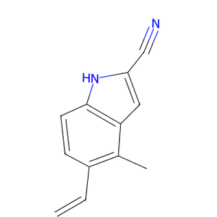 C=Cc1ccc2[nH]c(C#N)cc2c1C